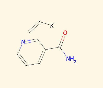 C=[CH][K].NC(=O)c1cccnc1